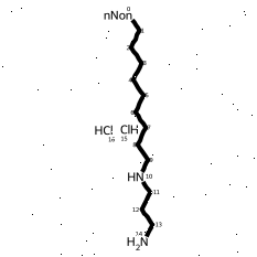 CCCCCCCCCCCCCCCCCCNCCCN.Cl.Cl